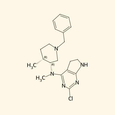 C[C@@H]1CCN(Cc2ccccc2)C[C@@H]1N(C)c1nc(Cl)nc2c1CCN2